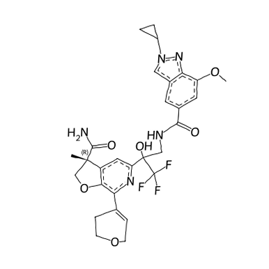 COc1cc(C(=O)NCC(O)(c2cc3c(c(C4=CCOCC4)n2)OC[C@]3(C)C(N)=O)C(F)(F)F)cc2cn(C3CC3)nc12